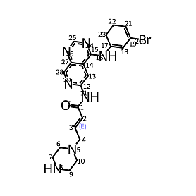 O=C(/C=C/CN1CCNCC1)Nc1cc2c(NC3=CC(Br)=CCC3)ncnc2cn1